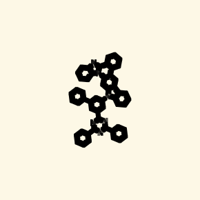 c1ccc(-c2cc(-c3nc(-c4ccccc4)nc(-c4ccccc4)n3)cc(-n3c4ccccc4c4cc5c6ccccc6c6nc7ccccc7n6c5cc43)c2)cc1